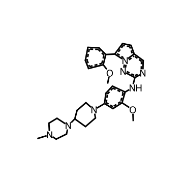 COc1cc(N2CCC(N3CCN(C)CC3)CC2)ccc1Nc1ncc2ccc(-c3ccccc3OC)n2n1